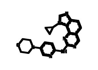 c1cc(Nc2ncc3ccc4ncn(C5CC5)c4c3n2)ncc1N1CCOCC1